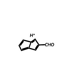 O=CC1=CC2=CC=CC2=C1.[H+]